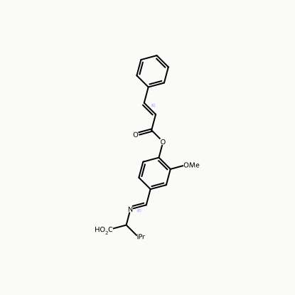 COc1cc(/C=N/C(C(=O)O)C(C)C)ccc1OC(=O)/C=C/c1ccccc1